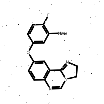 CNc1cc(Oc2ccc3c(c2)C2=NCCN2C=N3)ccc1F